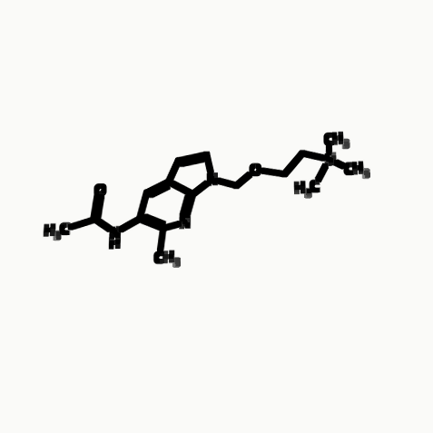 CC(=O)Nc1cc2ccn(COCC[Si](C)(C)C)c2nc1C